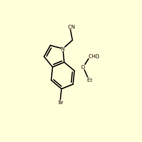 CCOC=O.N#CCn1ccc2cc(Br)ccc21